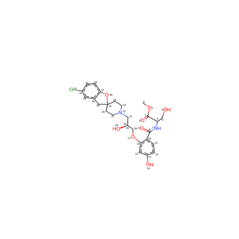 COC(=O)C(CO)NC(=O)c1ccc(O)cc1OC[C@@H](O)CN1CCC2(CC1)Cc1cc(Cl)ccc1O2